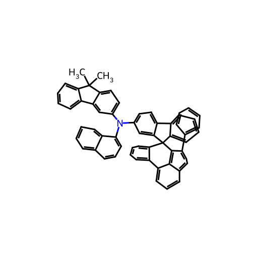 CC1(C)c2ccccc2-c2cc(N(c3ccc4c(c3)C3(c5ccccc5-4)c4ccccc4-c4cccc5ccc(-c6ccccc6)c3c45)c3cccc4ccccc34)ccc21